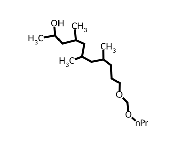 CCCOCOCCCC(C)CC(C)CC(C)CC(C)O